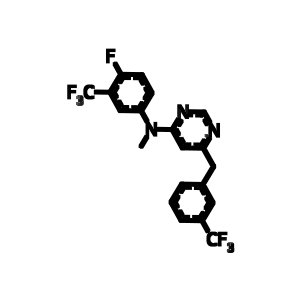 CN(c1ccc(F)c(C(F)(F)F)c1)c1cc(Cc2cccc(C(F)(F)F)c2)ncn1